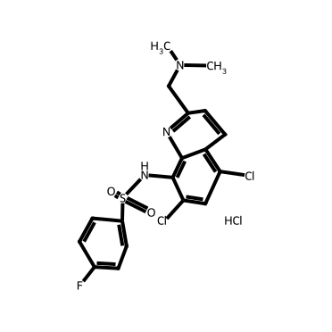 CN(C)Cc1ccc2c(Cl)cc(Cl)c(NS(=O)(=O)c3ccc(F)cc3)c2n1.Cl